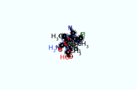 C=C1N(CC2(C)C(=C)N(CC3(C)C(=C)N(CC4(C)C(=C)N(CC5(C)C(=C)N(C)c6ccc(Cl)cc65)c5ccc(C#N)cc54)c4ccc(C)cc43)c3ccc(C(N)=O)cc32)c2ccc(C(=O)O)cc2C1(C)C